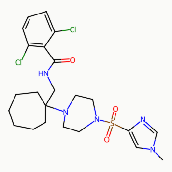 Cn1cnc(S(=O)(=O)N2CCN(C3(CNC(=O)c4c(Cl)cccc4Cl)CCCCCC3)CC2)c1